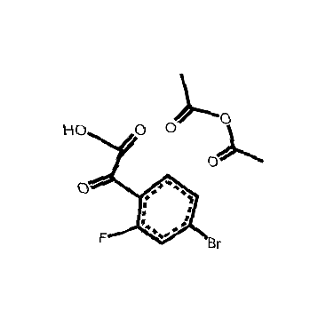 CC(=O)OC(C)=O.O=C(O)C(=O)c1ccc(Br)cc1F